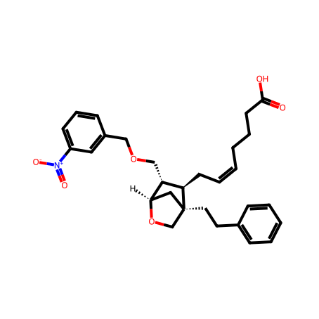 O=C(O)CCC/C=C\C[C@@H]1[C@@H](COCc2cccc([N+](=O)[O-])c2)[C@H]2C[C@]1(CCc1ccccc1)CO2